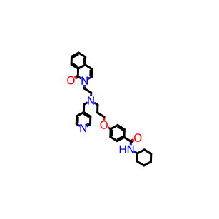 O=C(NC1CCCCC1)c1ccc(OCCCN(CCn2ccc3ccccc3c2=O)Cc2ccncc2)cc1